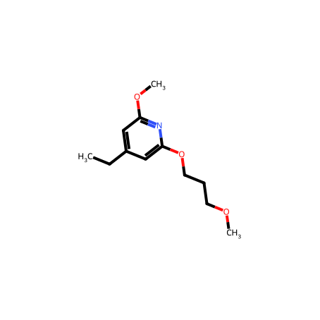 CCc1cc(OC)nc(OCCCOC)c1